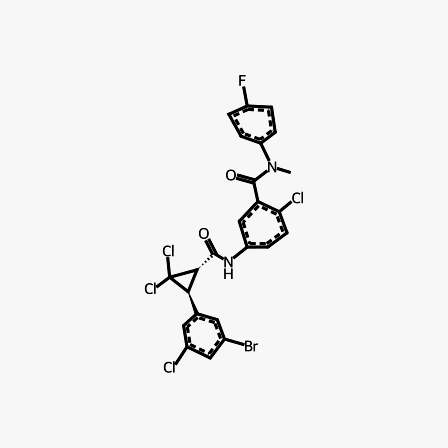 CN(C(=O)c1cc(NC(=O)[C@@H]2[C@@H](c3cc(Cl)cc(Br)c3)C2(Cl)Cl)ccc1Cl)c1ccc(F)cc1